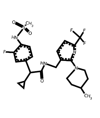 CC1CCN(c2nc(C(F)(F)F)ccc2CNC(=O)C(c2ccc(NS(C)(=O)=O)c(F)c2)C2CC2)CC1